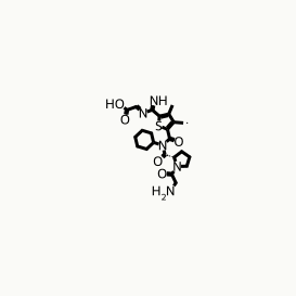 [CH2]c1c(C(=O)N(C(=O)[C@@H]2CCCN2C(=O)CN)C2CCCCC2)sc(C(=N)N=CC(=O)O)c1C